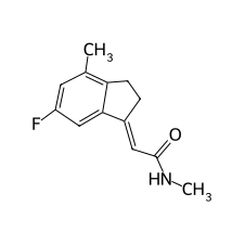 CNC(=O)C=C1CCc2c(C)cc(F)cc21